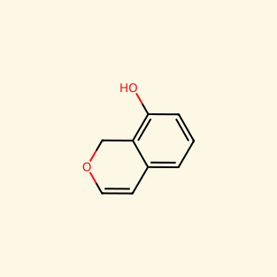 Oc1cccc2c1COC=C2